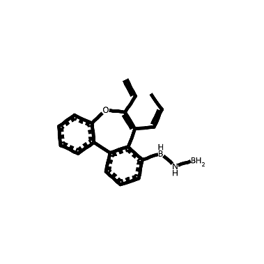 BNBc1cccc2c1C(/C=C\C)=C(C=C)Oc1ccccc1-2